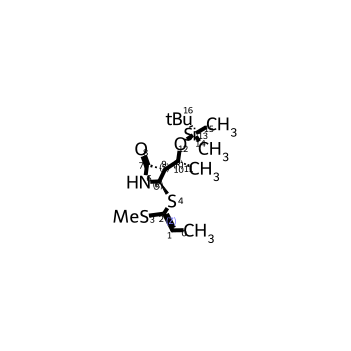 C/C=C(/SC)S[C@H]1NC(=O)[C@@H]1[C@@H](C)O[Si](C)(C)C(C)(C)C